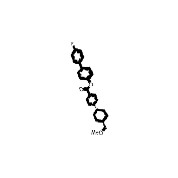 COC[C@H]1CC[C@H](c2ccc(C(=O)Oc3ccc(-c4ccc(F)cc4)cc3)cc2)CC1